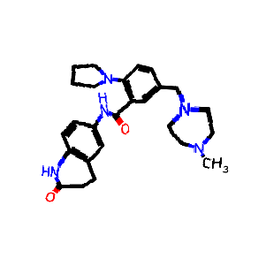 CN1CCN(Cc2ccc(N3CCCC3)c(C(=O)Nc3ccc4c(c3)CCC(=O)N4)c2)CC1